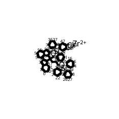 C1=CC2=CC=C(C(CCCO[Si](c3ccccc3)(c3ccccc3)c3ccccc3)(CO[Si](c3ccccc3)(c3ccccc3)c3ccccc3)C3C=Cc4ccccc43)C2C=C1.[Cl-].[Cl-].[Zr+2]